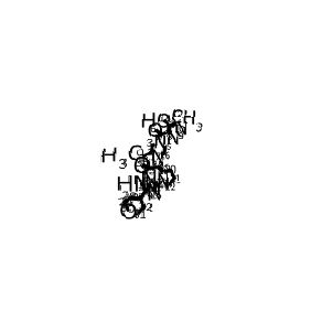 CCC1CN(C(=O)c2ncnc(C)c2O)CCN1C1=C2CCCN2C2=NC(C3=CCOCC3)NN2C1=O